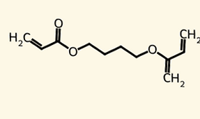 C=CC(=C)OCCCCOC(=O)C=C